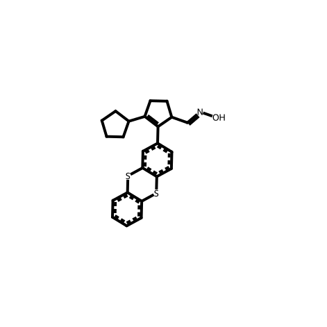 ON=CC1CCC(C2CCCC2)=C1c1ccc2c(c1)Sc1ccccc1S2